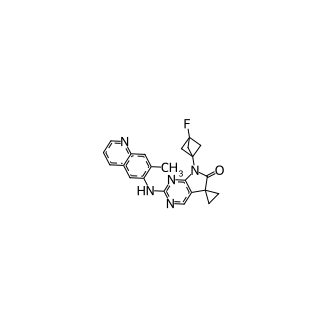 Cc1cc2ncccc2cc1Nc1ncc2c(n1)N(C13CC(F)(C1)C3)C(=O)C21CC1